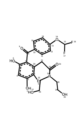 CCc1c(O)cc(O)c(C(=O)c2ccc(OC(F)F)cc2)c1CC(=O)N(CCO)CCO